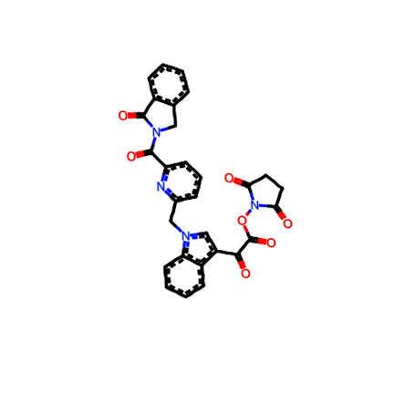 O=C(ON1C(=O)CCC1=O)C(=O)c1cn(Cc2cccc(C(=O)N3Cc4ccccc4C3=O)n2)c2ccccc12